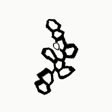 C1=CC2=Cc3c(oc4c(-c5c6ccccc6c(-c6ccc7ccccc7c6)c6ccccc56)cccc34)CC2CC1